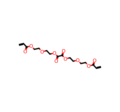 C=CC(=O)OCCOCCOC(=O)C(=O)OCCOCCOC(=O)C=C